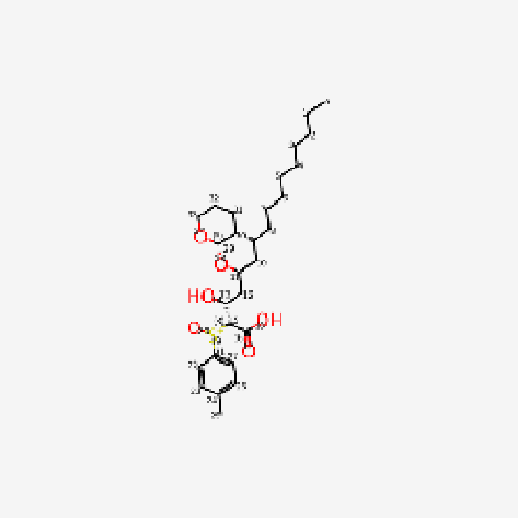 CCCCCCCCCCCC(CC(O)[C@H](C(=O)O)[S+]([O-])c1ccc(C)cc1)O[C@H]1CCCCO1